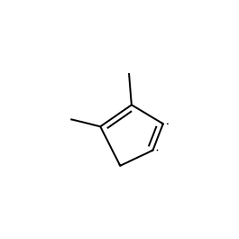 CC1=C(C)C[C]=[C]1